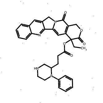 CCC1(OC(=O)CCC2CNCCN2c2ccccc2)C(=O)OCc2c1cc1n(c2=O)Cc2cc3ccccc3nc2-1